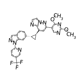 COc1ncc(-c2cc([C@H]3C[C@@H]3c3ccc4cnn(-c5ccc(C(F)(F)F)cn5)c4c3)c3nccn3n2)c(OC)n1